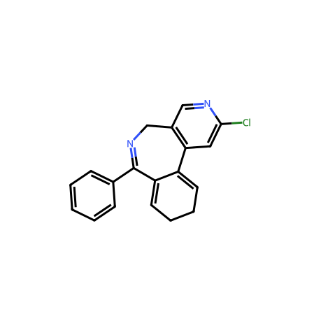 Clc1cc2c(cn1)CN=C(c1ccccc1)C1=CCCC=C12